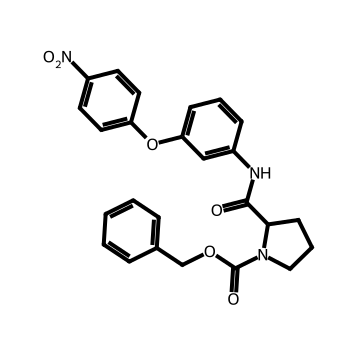 O=C(Nc1cccc(Oc2ccc([N+](=O)[O-])cc2)c1)C1CCCN1C(=O)OCc1ccccc1